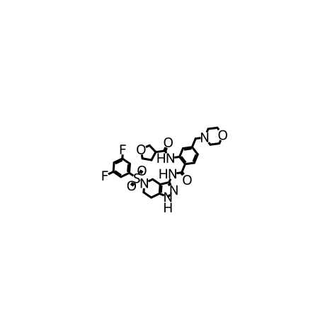 O=C(Nc1n[nH]c2c1CN(S(=O)(=O)c1cc(F)cc(F)c1)CC2)c1ccc(CN2CCOCC2)cc1NC(=O)C1CCOC1